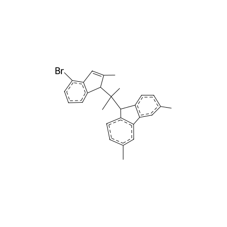 CC1=Cc2c(Br)cccc2C1C(C)(C)C1c2ccc(C)cc2-c2cc(C)ccc21